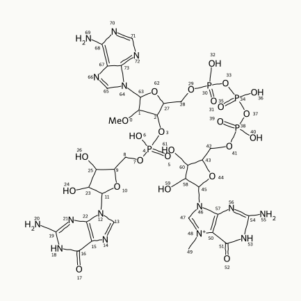 COC1C(OP(=O)(O)OCC2OC(n3cnc4c(=O)[nH]c(N)nc43)C(O)C2O)C(COP(=O)(O)OP(=O)(O)OP(=O)(O)OCC2OC(n3c[n+](C)c4c(=O)[nH]c(N)nc43)C(O)C2O)OC1n1cnc2c(N)ncnc21